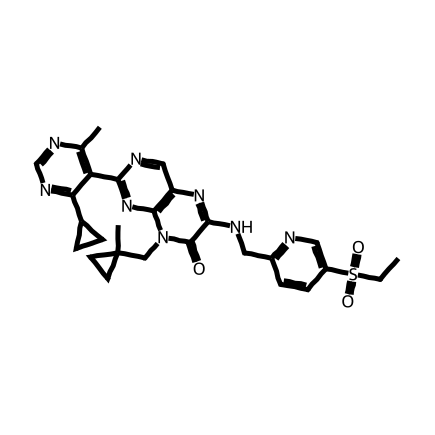 CCS(=O)(=O)c1ccc(CNc2nc3cnc(-c4c(C)ncnc4C4CC4)nc3n(CC3(C)CC3)c2=O)nc1